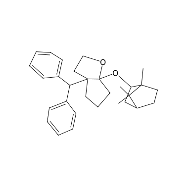 CC1(C)C2CCC1(C)C(OC13CCCC1(C(c1ccccc1)c1ccccc1)CCO3)C2